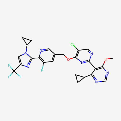 COc1ncnc(C2CC2)c1-c1ncc(Cl)c(OCc2cnc(-c3nc(C(F)(F)F)cn3C3CC3)c(F)c2)n1